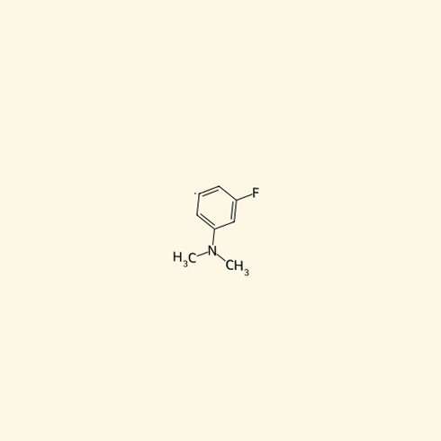 CN(C)c1c[c]cc(F)c1